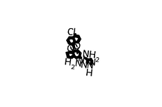 NC1=Nc2[nH]ncc2C(N)N1C1CCN(S(=O)(=O)c2cccc3c(Cl)cccc23)c2ccccc2C1